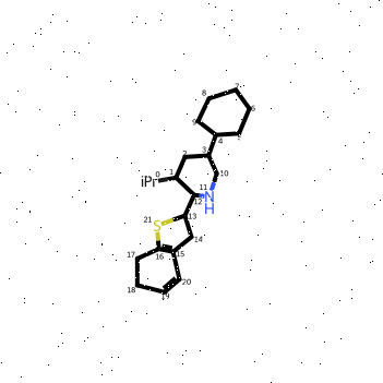 CC(C)C1CC(C2CCCCC2)CNC1C1CC2=C(CCC=C2)S1